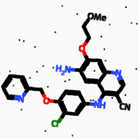 COCCOc1cc2ncc(C#N)c(Nc3ccc(OCc4ccccn4)c(Cl)c3)c2cc1N